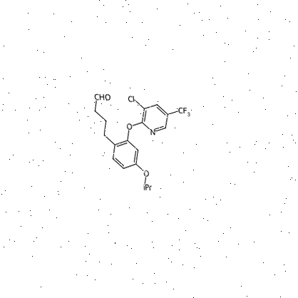 CC(C)Oc1ccc(CCCC=O)c(Oc2ncc(C(F)(F)F)cc2Cl)c1